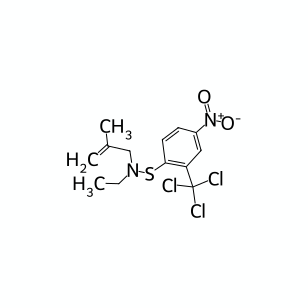 C=C(C)CN(CC)Sc1ccc([N+](=O)[O-])cc1C(Cl)(Cl)Cl